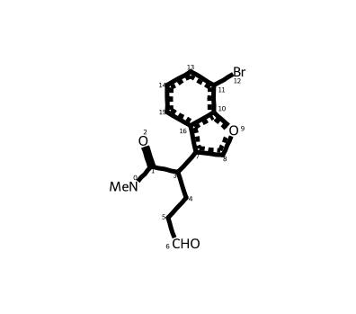 CNC(=O)C(CCC=O)c1coc2c(Br)cccc12